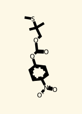 CSC(C)(C)COC(=O)Oc1ccc([N+](=O)[O-])cc1